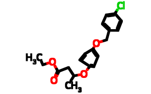 CCOC(=O)CC(C)Oc1ccc(OCc2ccc(Cl)cc2)cc1